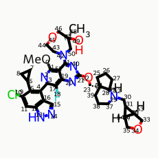 COc1nc(-c2c(C3CC3)c(Cl)cc3[nH]ncc23)c(F)c2nc(OC[C@]34CCC[C@H]3N(CC3[C@H]5COC[C@@H]35)CCC4)nc(N3CCOC[C@@](C)(O)C3)c12